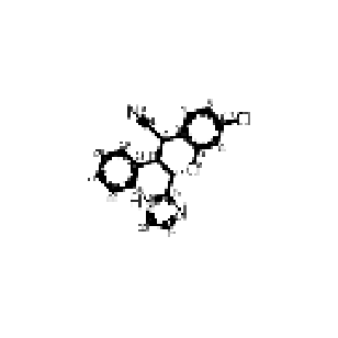 N#CC(c1ccc(Cl)cc1Cl)C(Cc1ncc[nH]1)c1ccccc1